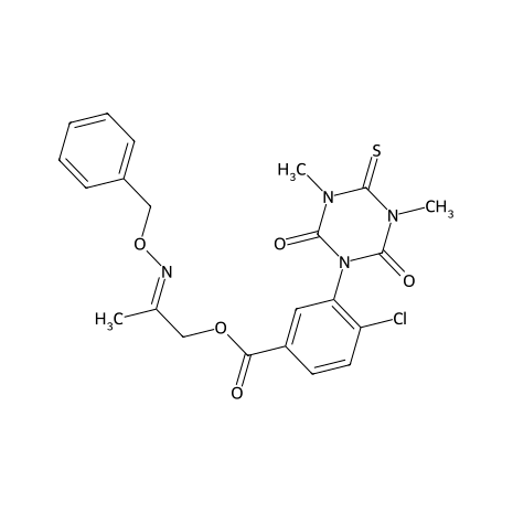 CC(COC(=O)c1ccc(Cl)c(-n2c(=O)n(C)c(=S)n(C)c2=O)c1)=NOCc1ccccc1